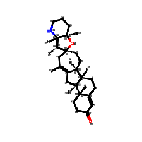 CC1=C2C[C@H]3[C@@H](CCC4=CC(=O)CC[C@@]43C)[C@@H]2CC[C@@]2(C1)O[C@@H]1CCCN[C@H]1[C@H]2C